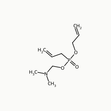 C=CCOP(=O)(CC=C)OCN(C)C